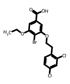 CCOc1cc(C(=O)O)cc(OCCc2ccc(Cl)cc2Cl)c1Br